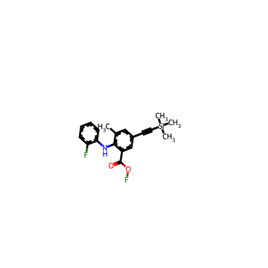 Cc1cc(C#C[Si](C)(C)C)cc(C(=O)OF)c1Nc1ccccc1F